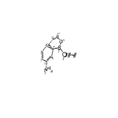 Nc1ccc2c(c1)B(O)ON=C2